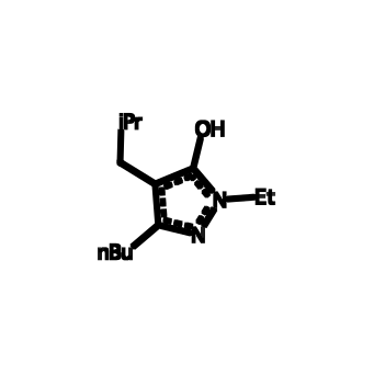 CCCCc1nn(CC)c(O)c1CC(C)C